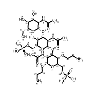 CC(=O)N[C@H]1[C@H](O[C@H]2[C@H](O)[C@@H](COP(C)(=O)O)O[C@@H](O[C@@H]3[C@@H](NC(C)=O)[C@@H](OCCN)O[C@H](COP(C)(=O)O)[C@H]3OCCN)[C@@H]2NC(C)=O)O[C@H](CO)[C@@H](O)[C@@H]1O